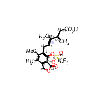 COc1c(C)c2c(c(OS(=O)(=O)C(F)(F)F)c1C/C=C(\C)C(C)CC(=O)O)C(=O)OC2